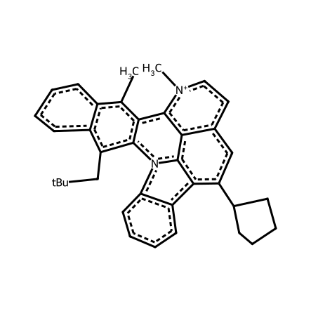 Cc1c2ccccc2c(CC(C)(C)C)c2c1c1c3c(cc[n+]1C)cc(C1CCCC1)c1c4ccccc4n2c13